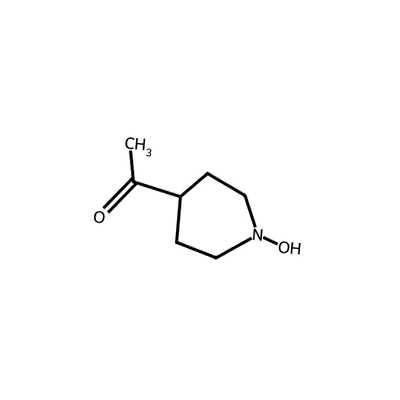 CC(=O)C1CCN(O)CC1